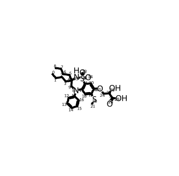 CCCCC1(CCCC)CN(c2ccccc2)c2cc(SC)c(OCC(O)C(=O)O)cc2S(=O)(=O)N1